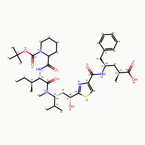 CC[C@H](C)[C@H](NC(=O)C1CCCCN1C(=O)OC(C)(C)C)C(=O)N(C)[C@H](C[C@@H](O)c1nc(C(=O)N[C@@H](Cc2ccccc2)C[C@H](C)C(=O)O)cs1)C(C)C